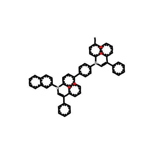 Cc1ccc(N(C=C(c2ccccc2)c2ccccc2)c2ccc(-c3ccc(N(C=C(c4ccccc4)c4ccccc4)c4ccc5ccccc5c4)cc3)cc2)cc1